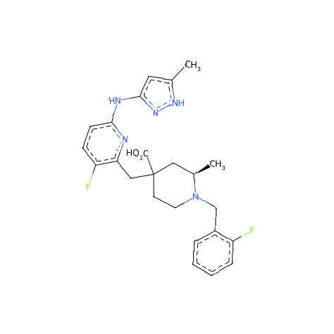 Cc1cc(Nc2ccc(F)c(CC3(C(=O)O)CCN(Cc4ccccc4F)[C@H](C)C3)n2)n[nH]1